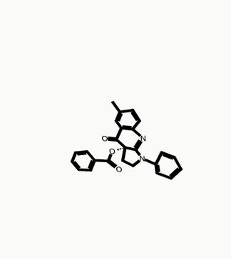 Cc1ccc2c(c1)C(=O)[C@]1(OC(=O)c3ccccc3)CCN(c3ccccc3)C1=N2